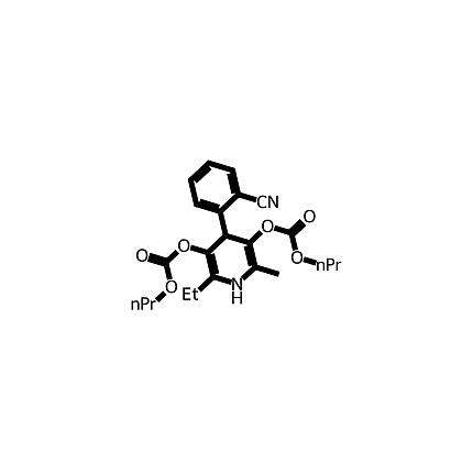 CCCOC(=O)OC1=C(C)NC(CC)=C(OC(=O)OCCC)C1c1ccccc1C#N